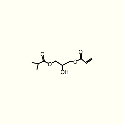 C=CC(=O)OCC(O)COC(=O)C(C)C